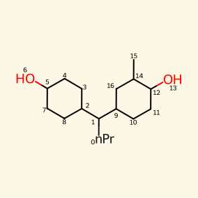 CCCC(C1CCC(O)CC1)C1CCC(O)C(C)C1